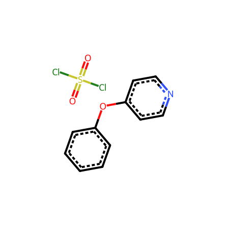 O=S(=O)(Cl)Cl.c1ccc(Oc2ccncc2)cc1